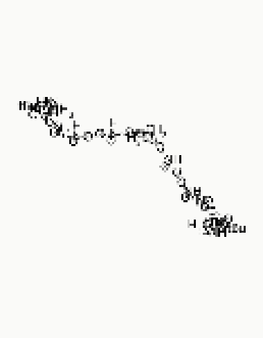 CC(C)(COCCOCCCNC(=O)CCOCCOCCNC(=O)C1CCN(C(=O)Oc2ccc(C[C@H](NC(=O)[C@H]3NCSC3(C)C)C(=O)OC(C)(C)C)cc2)CC1)COCCOCCCNC(=O)CCOCCOCCNC(=O)C1CCN(C(=O)Oc2ccc(C[C@H](NC(=O)[C@H]3NCSC3(C)C)C(=O)OC(C)(C)C)cc2)CC1